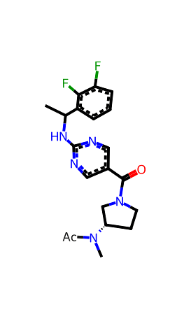 CC(=O)N(C)[C@H]1CCN(C(=O)c2cnc(NC(C)c3cccc(F)c3F)nc2)C1